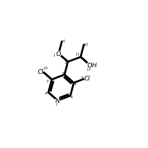 COC(c1c(Cl)cncc1Cl)C(C)O